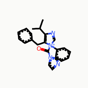 CC(C)C1=C(Cc2ccccc2)[N+](C(=O)n2ccnc2)(c2ccccc2)C=N1